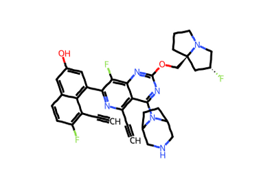 C#Cc1c(F)ccc2cc(O)cc(-c3nc(C#C)c4c(N5C6CCC5CNC6)nc(OC[C@@]56CCCN5C[C@H](F)C6)nc4c3F)c12